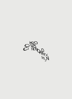 CC(C)(CN)CNC(=O)c1cccc(-c2cc(-c3ccccc3O)nc(NC(=O)c3cccc(Cl)c3)c2C#N)c1